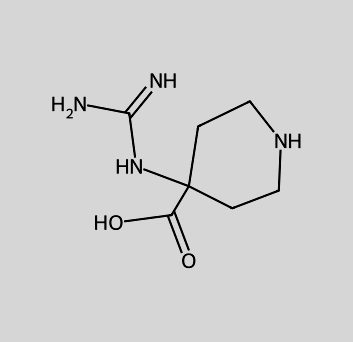 N=C(N)NC1(C(=O)O)CCNCC1